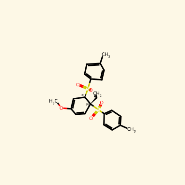 C=C[C@@]1(S(=O)(=O)c2ccc(C)cc2)C=CC(OC)=C[C@H]1S(=O)(=O)c1ccc(C)cc1